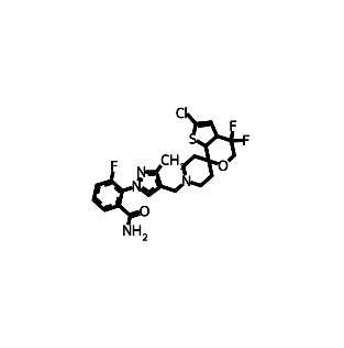 Cc1nn(-c2c(F)cccc2C(N)=O)cc1CN1CCC2(CC1)OCC(F)(F)C1C=C(Cl)SC12